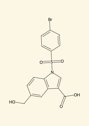 O=C(O)c1cn(S(=O)(=O)c2ccc(Br)cc2)c2ccc(CO)cc12